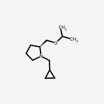 CC(C)OC[C@@H]1CCCN1CC1CC1